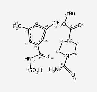 CC(C)(C)OC(=O)N1CCN(C(N)=O)CC1.O=C(NS(=O)(=O)O)c1cc(C(F)(F)F)cc(C(F)(F)F)c1